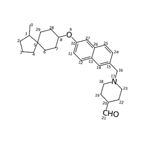 CC1CCCC12CCC(Oc1ccc3cc(CN4CCC(C=O)CC4)ccc3c1)CC2